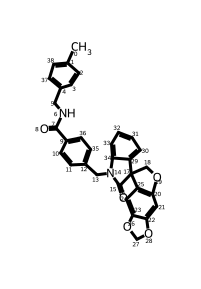 Cc1ccc(CNC(=O)c2ccc(CN3C(=O)C4(COc5cc6c(cc54)OCO6)c4ccccc43)cc2)cc1